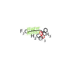 C=C(C(=O)OC(C)(CC(F)(F)C(F)(F)C(F)(F)C(F)(F)C(F)(F)C(F)(F)C(F)(F)C(F)(F)F)C1CCCCC1)C(F)(F)F